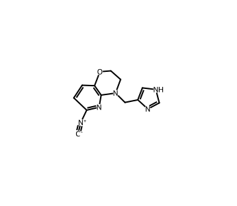 [C-]#[N+]c1ccc2c(n1)N(Cc1c[nH]cn1)CCO2